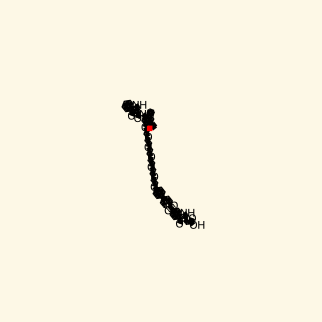 CC(C)(C)c1cc(C(C)(C)C)c(OCCOCCOCCOCCOCCOCCOc2ccc(C3CCN(S(=O)(=O)c4ccc5c(c4)NCN(CC(=O)O)C5=O)CC3)cc2)cc1NC(=O)c1c[nH]c2ccccc2c1=O